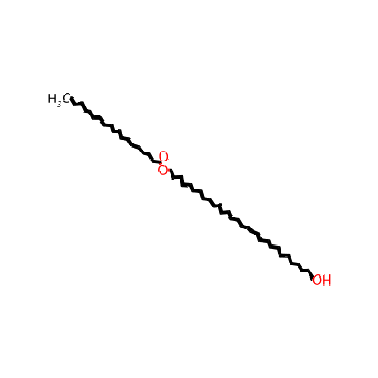 CCCCCCC=CCCCCCCCCCCCC(=O)OCCCCCCCCCCCCCCCCCCCCCCCCCCCCCCO